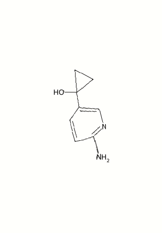 Nc1ccc(C2(O)CC2)cn1